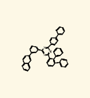 c1ccc(-c2ccc(-c3nc(-c4cccc(-c5ccc6ccccc6c5)c4)nc(-c4cccc(-c5ccccc5)c4-c4ccccc4)n3)cc2)cc1